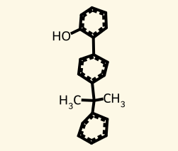 CC(C)(c1ccccc1)c1ccc(-c2ccccc2O)cc1